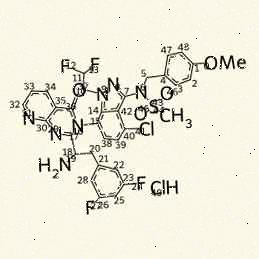 COc1ccc(CN(c2nn(CC(F)F)c3c(-n4c(C(N)Cc5cc(F)cc(F)c5)nc5ncccc5c4=O)ccc(Cl)c23)S(C)(=O)=O)cc1.Cl